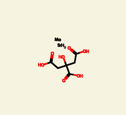 O=C(O)CC(O)(CC(=O)O)C(=O)O.[Mo].[SrH2]